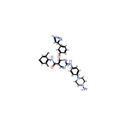 Cc1cccc(C)c1NC(=O)c1cnc(Nc2ccc(N3CCN(C(C)C)CC3)cc2)nc1Oc1cccc(-c2cc[nH]n2)c1